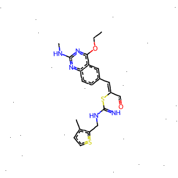 CCOc1nc(NC)nc2ccc(/C=C(/C=O)SC(=N)NCc3sccc3C)cc12